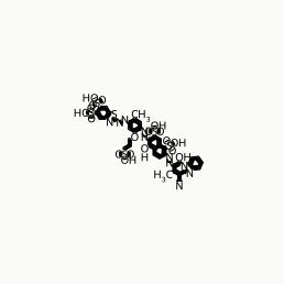 Cc1cc(N=Nc2c(S(=O)(=O)O)cc3c(S(=O)(=O)O)c(N=Nc4c(C)c(C#N)c5nc6ccccc6n5c4O)ccc3c2O)c(OCCCS(=O)(=O)O)cc1N=Nc1nc2cc(S(=O)(=O)O)c(S(=O)(=O)O)cc2s1